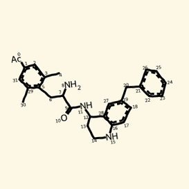 CC(=O)c1cc(C)c(CC(N)C(=O)NC2CCNc3ccc(Cc4ccccc4)cc32)c(C)c1